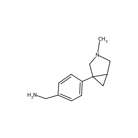 CN1CC2CC2(c2ccc(CN)cc2)C1